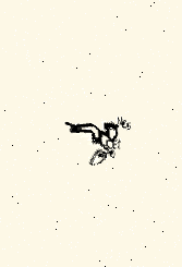 CCOS(=O)(=O)c1ccc(C)cc1-c1ccc(N=C=S)cc1